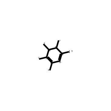 CC1=C(C)C(C)C(C)C(I)=C1